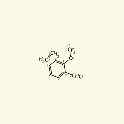 C=C.O=Cc1ccccc1OC(F)(F)F